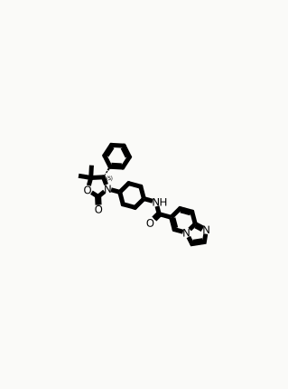 CC1(C)OC(=O)N(C2CCC(NC(=O)c3ccc4nccn4c3)CC2)[C@H]1c1ccccc1